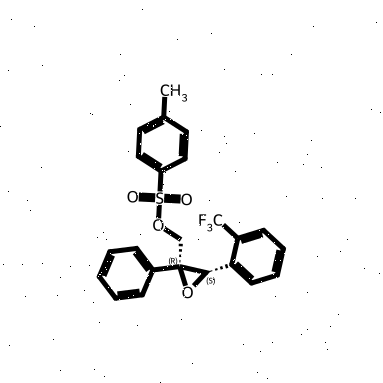 Cc1ccc(S(=O)(=O)OC[C@@]2(c3ccccc3)O[C@H]2c2ccccc2C(F)(F)F)cc1